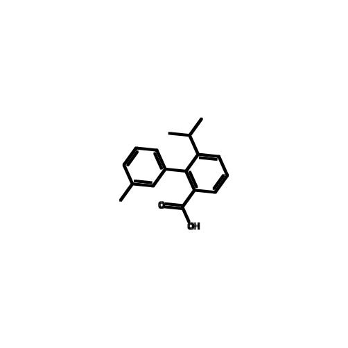 Cc1cccc(-c2c(C(=O)O)cccc2C(C)C)c1